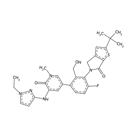 CCn1ccc(Nc2cc(-c3ccc(F)c(N4Cc5cc(C(C)(C)C)sc5C4=O)c3CO)cn(C)c2=O)n1